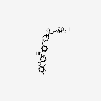 Cc1ccc(Oc2ccnc(Nc3cccc(CN4CCN(C(=O)CCNC(=O)O)CC4)c3)c2)c(C)n1